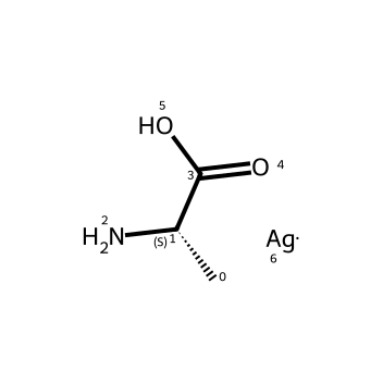 C[C@H](N)C(=O)O.[Ag]